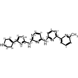 Cc1cccc(-c2nccc(Nc3ccnc(Nc4nc(C5=CCNCC5)cs4)n3)n2)n1